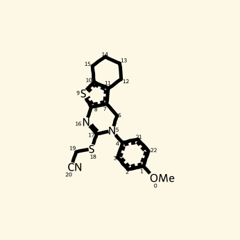 COc1ccc(N2Cc3c(sc4c3CCCC4)N=C2SCC#N)cc1